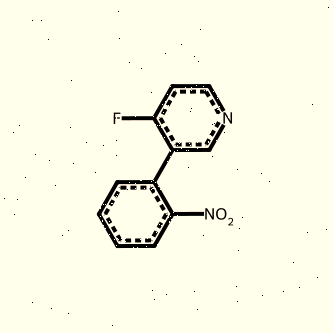 O=[N+]([O-])c1ccccc1-c1cnccc1F